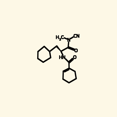 CN(C#N)C(=O)[C@H](CC1CCCCC1)NC(=O)C1=CCCCC1